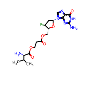 CC(C)[C@H](N)C(=O)OCCC(=O)OC[C@H]1O[C@@H](n2cnc3c(=O)[nH]c(N)nc32)CC1F